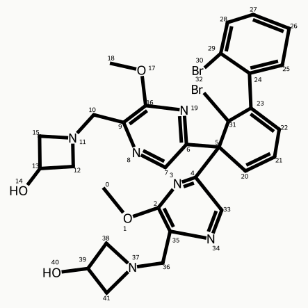 COc1nc(C2(c3cnc(CN4CC(O)C4)c(OC)n3)C=CC=C(c3ccccc3Br)C2Br)cnc1CN1CC(O)C1